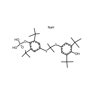 CC(C)(Sc1cc(C(C)(C)C)c(O)c(C(C)(C)C)c1)Sc1cc(C(C)(C)C)c(OP(=O)(O)O)c(C(C)(C)C)c1.[NaH]